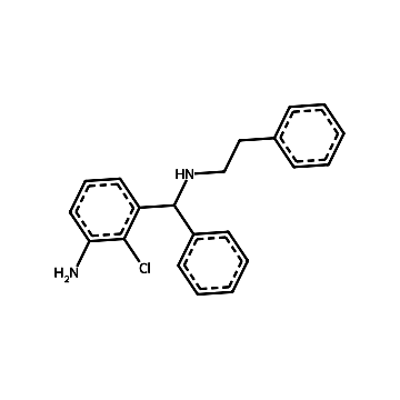 Nc1cccc(C(NCCc2ccccc2)c2ccccc2)c1Cl